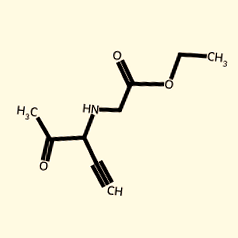 C#CC(NCC(=O)OCC)C(C)=O